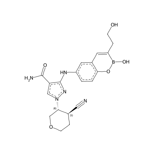 N#C[C@H]1CCOC[C@@H]1n1cc(C(N)=O)c(Nc2ccc3c(c2)C=C(CCO)B(O)O3)n1